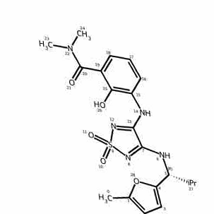 Cc1ccc([C@H](NC2=NS(=O)(=O)N=C2Nc2cccc(C(=O)N(C)C)c2O)C(C)C)o1